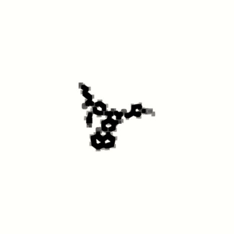 CN1CCC(COc2nc3c(c(N4CCN(C(=O)/C=C/CF)[C@@H](CC#N)C4)n2)CCN(c2cccc4cccc(Cl)c24)C3)C1